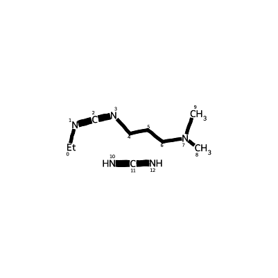 CCN=C=NCCCN(C)C.N=C=N